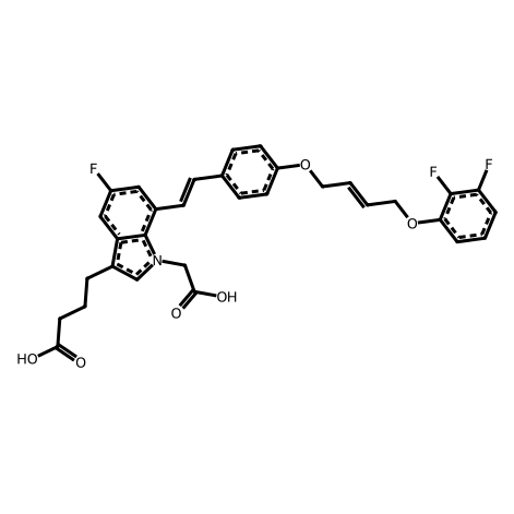 O=C(O)CCCc1cn(CC(=O)O)c2c(/C=C/c3ccc(OC/C=C/COc4cccc(F)c4F)cc3)cc(F)cc12